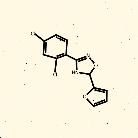 Clc1ccc(C2=NOC(c3ccco3)N2)c(Cl)c1